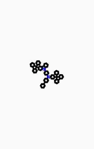 c1ccc(-c2ccc(N(c3ccc(-n4c5ccccc5c5cc(C6(c7ccccc7)c7ccccc7-c7ccccc76)ccc54)cc3)c3ccc(C4(c5ccccc5)c5ccccc5-c5ccccc54)cc3)cc2)cc1